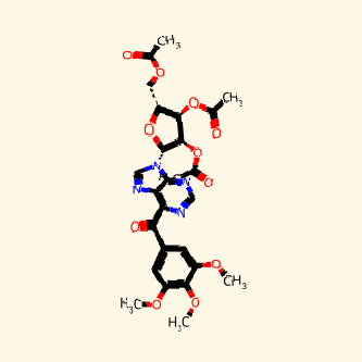 COc1cc(C(=O)c2ncnc3c2ncn3[C@@H]2O[C@H](COC(C)=O)[C@@H](OC(C)=O)[C@H]2OC(C)=O)cc(OC)c1OC